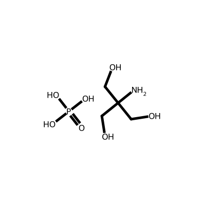 NC(CO)(CO)CO.O=P(O)(O)O